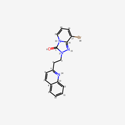 O=c1n(CCc2ccc3ccccc3n2)nc2c(Br)cccn12